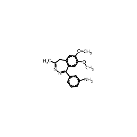 COc1cc2c(cc1OC)C(c1cccc(N)c1)=NN=C(C)C2